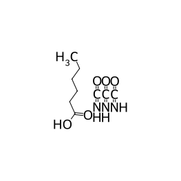 CCCCCC(=O)O.N=C=O.N=C=O.N=C=O